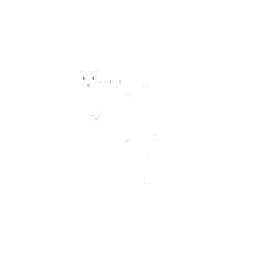 COC(=O)C(Br)c1ccc(S(=O)(=O)Cl)cc1